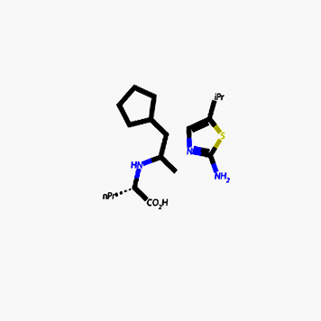 CC(C)c1cnc(N)s1.CCC[C@H](NC(C)CC1CCCC1)C(=O)O